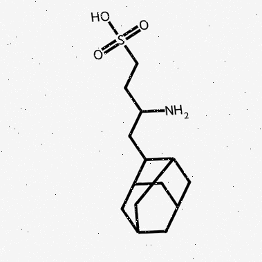 NC(CCS(=O)(=O)O)CC1C2CC3CC(C2)CC1C3